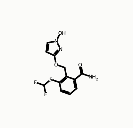 NC(=O)c1cccc(SC(F)F)c1COc1ccn(O)n1